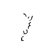 CCOC(=O)/C=C/C[C@@H]1C[C@@]2(CO2)[C@H](O)[C@@H](/C=C/C(C)=C/C[C@@H]2O[C@H](C)[C@H](NC(=O)/C=C\[C@H](C)OC(C)=O)C[C@@H]2C)O1